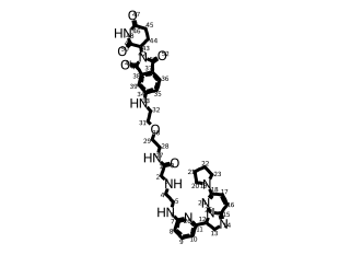 O=C(CNCCNc1cccc(C2CN=C3C=CC(N4CCCC4)=NN32)n1)NCCOCCNc1ccc2c(c1)C(=O)N(C1CCC(=O)NC1=O)C2=O